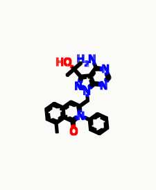 Cc1cccc2cc(Cn3nc(C(C)(C)O)c4c(N)ncnc43)n(-c3ccccc3)c(=O)c12